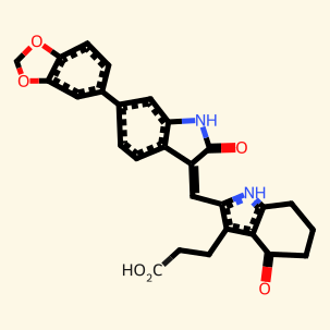 O=C(O)CCc1c(/C=C2\C(=O)Nc3cc(-c4ccc5c(c4)OCO5)ccc32)[nH]c2c1C(=O)CCC2